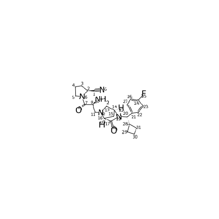 N#C[C@@H]1CCCN1C(=O)[C@@H](N)CN1C[C@@H]2C[C@H]1C(=O)N2[C@H](c1ccc(F)cc1)C1CCC1